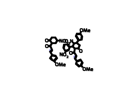 COc1ccc(/C=C/C(=O)C2C(=O)CC(c3ccc(OC)cc3)C([N+](=O)[O-])C2c2cccc([N+](=O)[O-])c2)cc1.COc1ccc(/C=C/C(=O)C2CC([N+](=O)[O-])CCC2=O)cc1